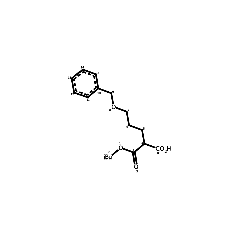 CCC(C)OC(=O)C(CCCOCc1ccccc1)C(=O)O